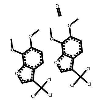 C=O.COc1ccc2c(C(Cl)(Cl)Cl)coc2c1OC.COc1ccc2c(C(Cl)(Cl)Cl)coc2c1OC